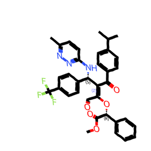 COC(=O)[C@H](O/C(C=O)=C(\C(=O)c1ccc(C(C)C)cc1)[C@@H](Nc1ccc(C)nn1)c1ccc(C(F)(F)F)cc1)c1ccccc1